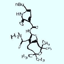 CCCCc1ccc(C(=O)Nc2sc3c(c2C(N)=O)CC(C)(C)OC3(C)C)c(=O)[nH]1